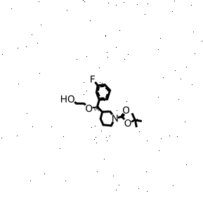 CC(C)(C)OC(=O)N1CCCC([C@@H](OCCO)c2cccc(F)c2)C1